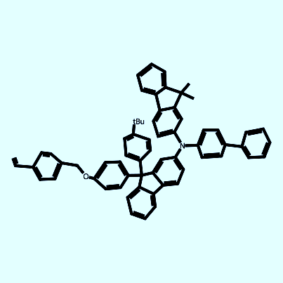 C=Cc1ccc(COc2ccc(C3(c4ccc(C(C)(C)C)cc4)c4ccccc4-c4ccc(N(c5ccc(-c6ccccc6)cc5)c5ccc6c(c5)C(C)(C)c5ccccc5-6)cc43)cc2)cc1